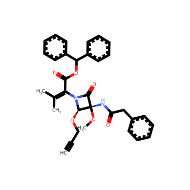 C#CCO[C@H]1N(C(C(=O)OC(c2ccccc2)c2ccccc2)=C(C)C)C(=O)[C@]1(NC(=O)Cc1ccccc1)OC